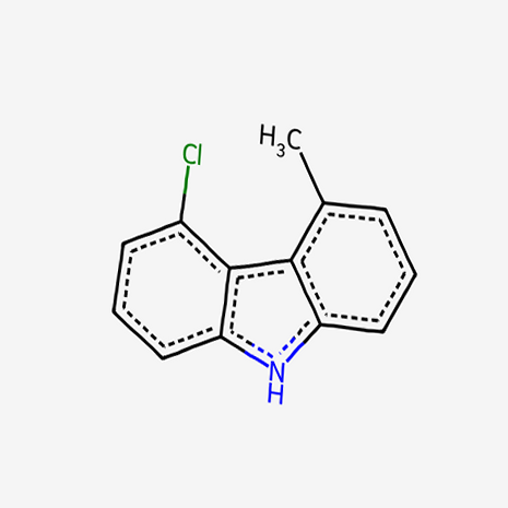 Cc1cccc2[nH]c3cccc(Cl)c3c12